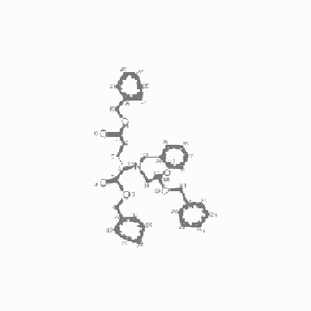 O=C(CC[C@@H](C(=O)OCc1ccccc1)N(CC(=O)OCc1ccccc1)Cc1ccccc1)OCc1ccccc1